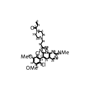 C=CC(=O)N1CCN(CCc2nc3c(-c4c(Cl)c(OC)cc(OC)c4Cl)cc4cnc(NC)nc4n3n2)CC1